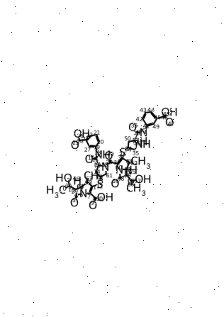 C[C@@H](O)[C@H]1C(=O)N2C(C(=O)O)=C(S[C@H]3C[C@@H](C(=O)Nc4cccc(C(=O)O)c4)N(C(=O)C4=C(S[C@@H]5CN[C@H](C(=O)Nc6cccc(C(=O)O)c6)C5)[C@H](C)[C@@H]5[C@@H]([C@@H](C)O)C(=O)N45)C3)[C@H](C)[C@H]12